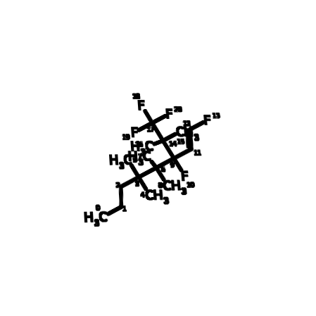 CCCC(C)(C)C(C)(C)C(F)(C=CF)C(C)(C)C(F)(F)F